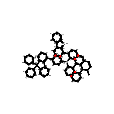 CC1C=Cc2cccc(-c3ccccc3N(c3ccc(-c4cccc5c4-c4ccccc4C5(c4ccccc4)c4ccccc4)cc3)c3ccccc3-c3cccc4c3sc3ccccc34)c2C1c1ccccc1